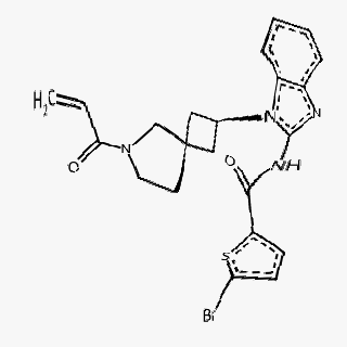 C=CC(=O)N1CC[C@]2(C1)C[C@H](n1c(NC(=O)c3ccc(Br)s3)nc3ccccc31)C2